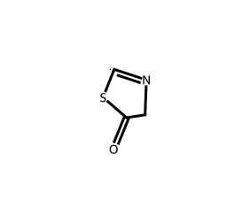 O=C1CN=[C]S1